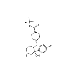 CC1(C)CCC(CN2CCN(C(=O)OC(C)(C)C)CC2)C(O)(c2ccc(Cl)cc2)C1